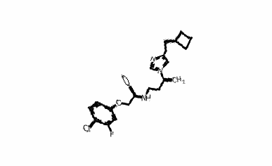 C=C(CCNC(=O)COc1ccc(Cl)c(F)c1)n1cnc(CC2CCC2)c1